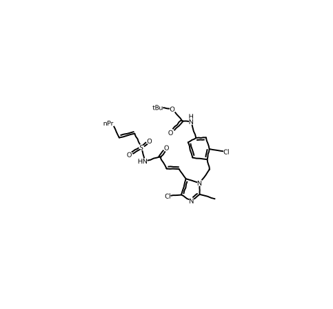 CCC/C=C/S(=O)(=O)NC(=O)/C=C/c1c(Cl)nc(C)n1Cc1ccc(NC(=O)OC(C)(C)C)cc1Cl